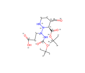 CC(C)(C)OC(=O)NN(CCC(=O)O)N1NCCC(=C=O)[C@H]1C(=O)OC(C)(C)C